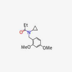 CCC(=O)N(Cc1ccc(OC)cc1OC)C1CC1